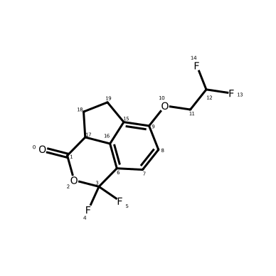 O=C1OC(F)(F)c2ccc(OCC(F)F)c3c2C1CC3